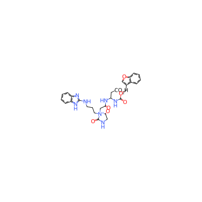 O=C(O)CC(NC(=O)C[N+]1(CCCNc2nc3ccccc3[nH]2)C(=O)CNC1=O)NC(=O)OCc1coc2ccccc12